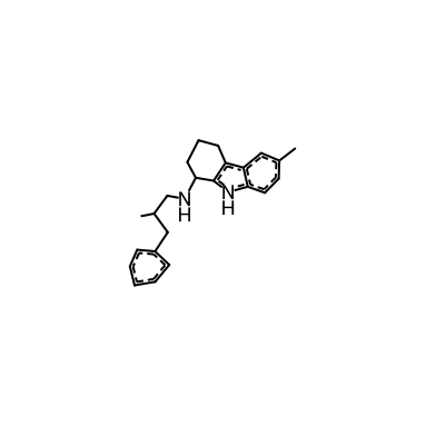 Cc1ccc2[nH]c3c(c2c1)CCCC3NCC(C)Cc1ccccc1